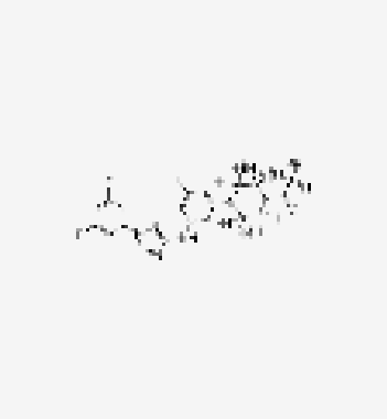 [2H]C([2H])([2H])C(=O)N1C([2H])([2H])C([2H])([2H])N(c2cc(C)cc(Nc3ncn(-c4cc(F)cc(F)c4)n3)c2)C([2H])([2H])C1([2H])[2H]